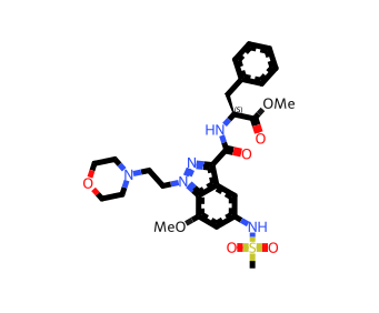 COC(=O)[C@H](Cc1ccccc1)NC(=O)c1nn(CCN2CCOCC2)c2c(OC)cc(NS(C)(=O)=O)cc12